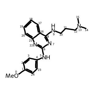 COc1ccc(Nc2nc(NCCCN(C)C)c3ccccc3n2)cc1